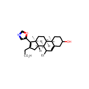 CCC1C=C2CC(O)CC[C@]2(C)[C@@H]2CC[C@]3(C)C(c4cnco4)=C(CC(=O)O)C[C@H]3[C@H]12